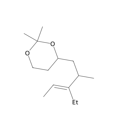 CC=C(CC)C(C)CC1CCOC(C)(C)O1